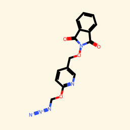 [N-]=[N+]=NCOc1ccc(CON2C(=O)c3ccccc3C2=O)cn1